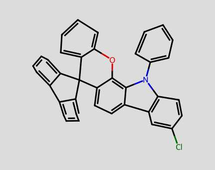 Clc1ccc2c(c1)c1ccc3c(c1n2-c1ccccc1)Oc1ccccc1C31c2ccccc2-c2ccccc21